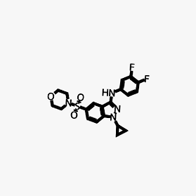 O=S(=O)(c1ccc2c(c1)c(Nc1ccc(F)c(F)c1)nn2C1CC1)N1CCOCC1